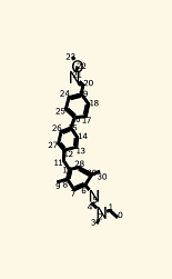 CCN(C)/C=N/c1cc(C)c(Cc2ccc(-c3ccc(/C=N/OC)cc3)cc2)cc1C